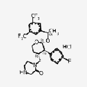 C[C@@H](O[C@H]1OCC[C@@H](CN2CCNCC2=O)[C@@H]1c1ccc(F)cc1)c1cc(C(F)(F)F)cc(C(F)(F)F)c1.Cl